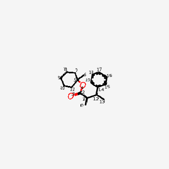 CC(C(=O)OC1(C)CCCCC1)C(C)c1ccccc1